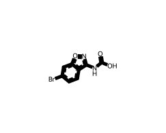 O=C(O)Nc1noc2cc(Br)ccc12